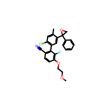 COCCOc1ccc(C#N)c(-c2cc(C3(c4ccccc4)CO3)c(C)cc2Cl)c1F